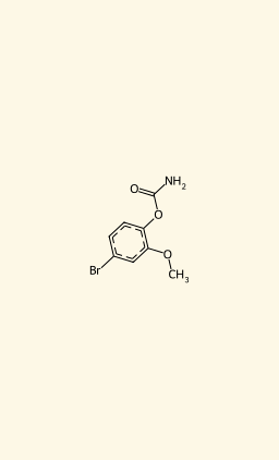 COc1cc(Br)ccc1OC(N)=O